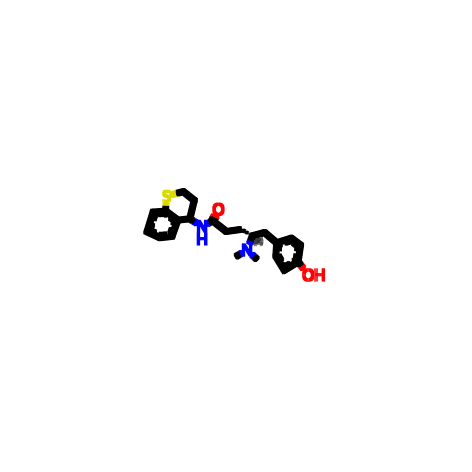 CN(C)[C@H](CCC(=O)NC1CCSc2ccccc21)Cc1ccc(O)cc1